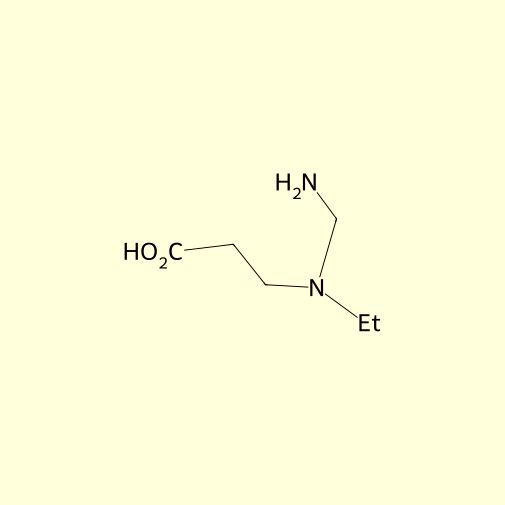 CCN(CN)CCC(=O)O